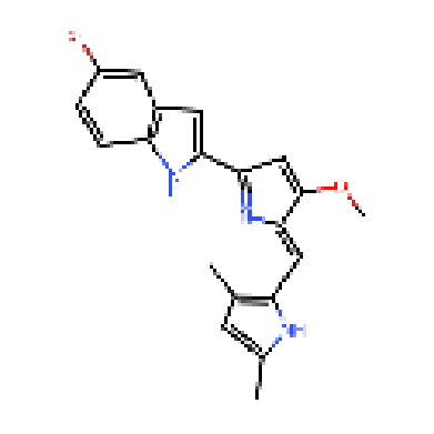 COC1=CC(c2cc3cc(Br)ccc3[nH]2)=NC1=Cc1[nH]c(C)cc1C